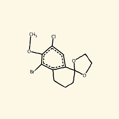 COc1c(Cl)cc2c(c1Br)CCCC21OCCO1